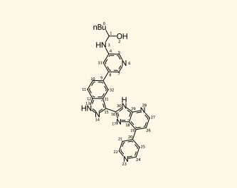 CCCCC(O)Nc1cncc(-c2ccc3[nH]nc(-c4nc5c(-c6ccncc6)ccnc5[nH]4)c3c2)c1